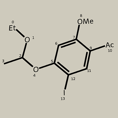 CCOC(C)Oc1cc(OC)c(C(C)=O)cc1I